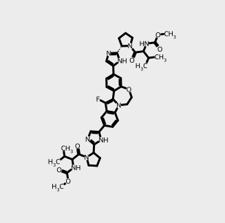 COC(=O)NC(C(=O)N1CCCC1c1ncc(-c2ccc3c(c2)c(F)c2n3CCOc3cc(-c4cnc([C@@H]5CCCN5C(=O)C(NC(=O)OC)C(C)C)[nH]4)ccc3-2)[nH]1)C(C)C